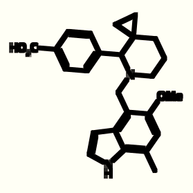 COc1cc(C)c2[nH]ccc2c1CN1CCCC2(CC2)C1c1ccc(C(=O)O)cc1